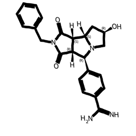 N=C(N)c1ccc([C@H]2[C@@H]3C(=O)N(Cc4ccccc4)C(=O)[C@@H]3[C@@H]3C[C@@H](O)CN32)cc1